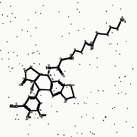 COc1cc(C2c3cc4c(cc3[C@@H](NC(=O)CNCCCNCCCCN)C3COC(=O)[C@H]23)OCO4)cc(OC)c1O